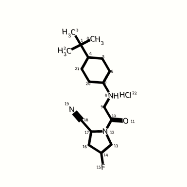 CC(C)(C)C1CCC(NCC(=O)N2CC(F)CC2C#N)CC1.Cl